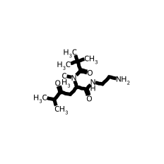 CC(C)C(=O)CC(C(=O)NCCN)N(C)C(=O)C(C)(C)C